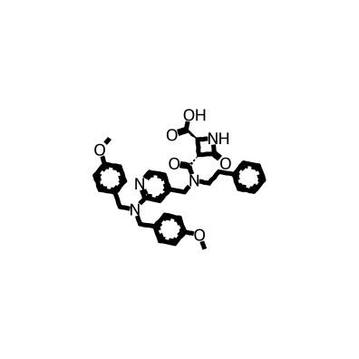 COc1ccc(CN(Cc2ccc(OC)cc2)c2cc(CN(CCc3ccccc3)C(=O)[C@H]3C(=O)N[C@@H]3C(=O)O)ccn2)cc1